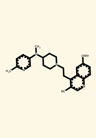 COc1ccc2ncc(C#N)c(CCN3CCC(N(C)c4ccc(C)nc4)CC3)c2c1